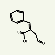 O=CCC(=Cc1ccccc1)C(=O)O